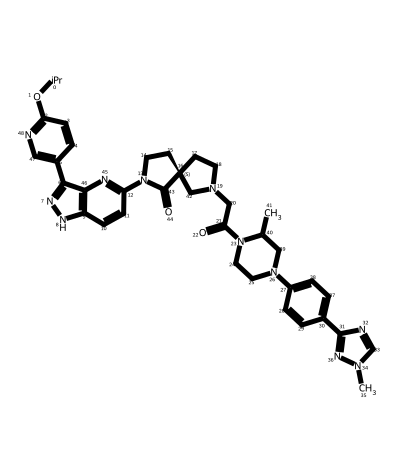 CC(C)Oc1ccc(-c2n[nH]c3ccc(N4CC[C@]5(CCN(CC(=O)N6CCN(c7ccc(-c8ncn(C)n8)cc7)CC6C)C5)C4=O)nc23)cn1